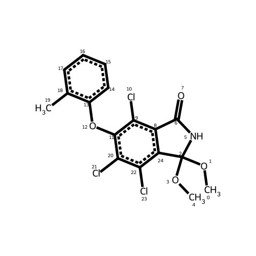 COC1(OC)NC(=O)c2c(Cl)c(Oc3ccccc3C)c(Cl)c(Cl)c21